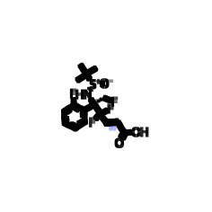 CC(C)(C)[S+]([O-])N[C@](CF)(c1ccccc1F)C(F)(F)/C=C/C(=O)O